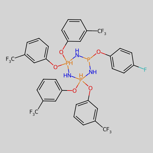 Fc1ccc(OP2N[PH](Oc3cccc(C(F)(F)F)c3)(Oc3cccc(C(F)(F)F)c3)N[PH](Oc3cccc(C(F)(F)F)c3)(Oc3cccc(C(F)(F)F)c3)N2)cc1